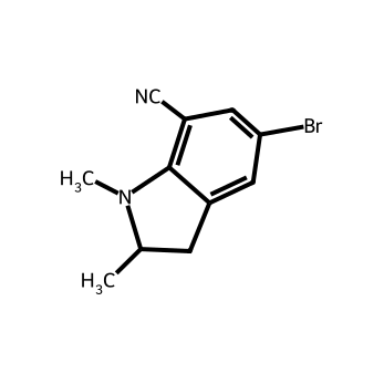 CC1Cc2cc(Br)cc(C#N)c2N1C